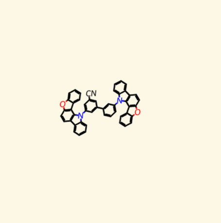 N#Cc1cc(-c2cccc(-n3c4ccccc4c4ccc5oc6ccccc6c5c43)c2)cc(-n2c3ccccc3c3ccc4oc5ccccc5c4c32)c1